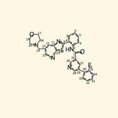 O=C(Nc1ccccc1-c1nc2cc(CN3CCOCC3)cnc2s1)c1cncc(-c2ccccc2F)c1